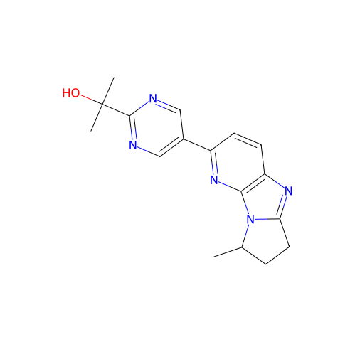 CC1CCc2nc3ccc(-c4cnc(C(C)(C)O)nc4)nc3n21